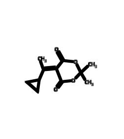 CC(=C1C(=O)OC(C)(C)OC1=O)C1CC1